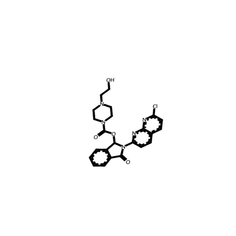 O=C(OC1c2ccccc2C(=O)N1c1ccc2ccc(Cl)nc2n1)N1CCN(CCO)CC1